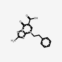 Nc1nc2n(CCc3ccccc3)cc(C(=O)O)c(=O)n2n1